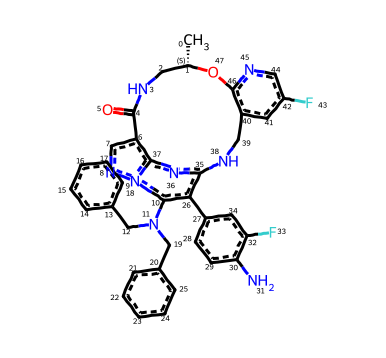 C[C@H]1CNC(=O)c2cnn3c(N(Cc4ccccc4)Cc4ccccc4)c(-c4ccc(N)c(F)c4)c(nc23)NCc2cc(F)cnc2O1